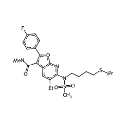 CCc1cc2c(C(=O)NC)c(-c3ccc(F)cc3)oc2nc1N(CCCCSC(C)C)S(C)(=O)=O